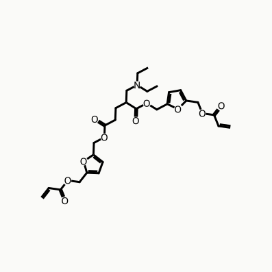 C=CC(=O)OCc1ccc(COC(=O)CCC(CN(CC)CC)C(=O)OCc2ccc(COC(=O)C=C)o2)o1